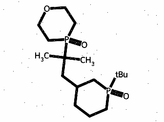 CC(C)(C)P1(=O)CCCC(CC(C)(C)P2(=O)CCOCC2)C1